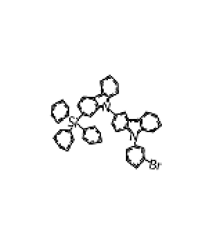 Brc1cccc(-n2c3ccccc3c3cc(-n4c5ccccc5c5ccc([Si](c6ccccc6)(c6ccccc6)c6ccccc6)cc54)ccc32)c1